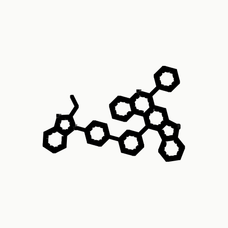 CCc1nc2ccccc2n1-c1ccc(-c2cccc(-c3c4c(cc5c(-c6ccccc6)nc6ccccc6c35)oc3ccccc34)c2)cc1